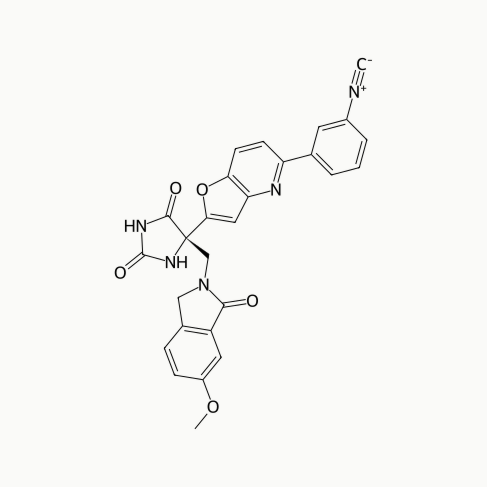 [C-]#[N+]c1cccc(-c2ccc3oc([C@]4(CN5Cc6ccc(OC)cc6C5=O)NC(=O)NC4=O)cc3n2)c1